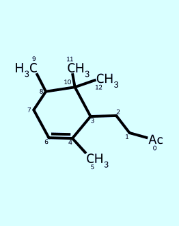 CC(=O)CCC1C(C)=CCC(C)C1(C)C